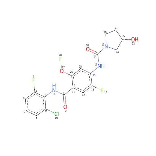 O=C(Nc1c(F)cccc1Cl)c1cc(F)c(NC(=O)N2CCC(O)C2)cc1OF